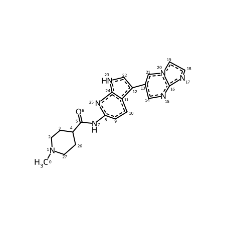 CN1CCC(C(=O)Nc2ccc3c(-c4cnc5nccn5c4)c[nH]c3n2)CC1